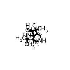 CC(C)(C)NC12CCNCC1C(C)(C)C2=O